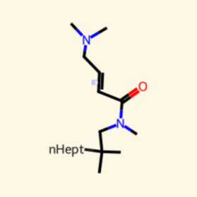 CCCCCCCC(C)(C)CN(C)C(=O)/C=C/CN(C)C